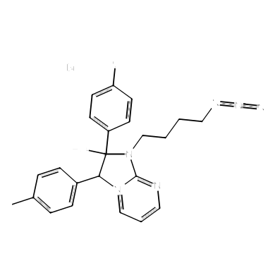 Cc1ccc(C2[n+]3cccnc3N(CCCCN=[N+]=[N-])C2(O)c2ccc(Cl)cc2)cc1.[Br-]